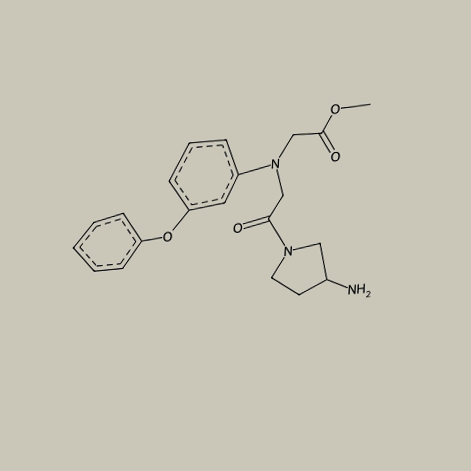 COC(=O)CN(CC(=O)N1CCC(N)C1)c1cccc(Oc2ccccc2)c1